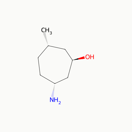 C[C@H]1CC[C@@H](N)C[C@H](O)C1